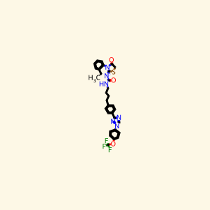 CCc1ccccc1N1C(=O)CS/C1=N\C(=O)NCCCCc1ccc(-c2ncn(-c3ccc(OC(F)(F)F)cc3)n2)cc1